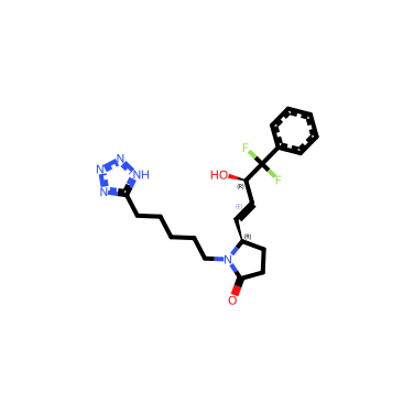 O=C1CC[C@H](/C=C/[C@@H](O)C(F)(F)c2ccccc2)N1CCCCCc1nnn[nH]1